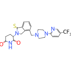 O=C1CCC(N2Cc3c(CN4CCN(c5ccc(C(F)(F)F)cn5)CC4)cccc3C2=S)C(=O)N1